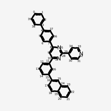 c1ccc(-c2ccc(-c3cc(-c4cccc(-c5ccc6ccccc6c5)c4)nc(-c4ccncc4)n3)cc2)cc1